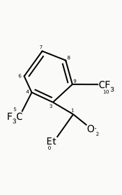 CCC([O])c1c(C(F)(F)F)cccc1C(F)(F)F